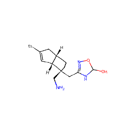 CCC1=C[C@@H]2[C@H](C1)C[C@]2(CN)CC1=NOC(O)N1